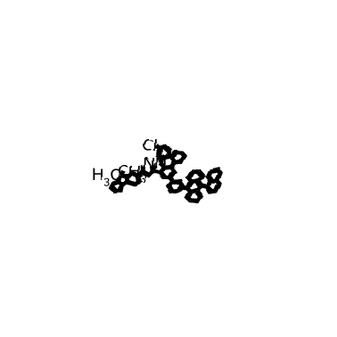 CC1(C)c2ccccc2-c2ccc(-c3cnc4c(c3)c3cc(-c5cccc(-c6c7ccccc7c(-c7cccc8ccccc78)c7ccccc67)c5)cc(C5=CCCC=C5)c3n4-c3cccc(Cl)c3)cc21